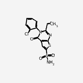 CCc1nc2sc(S(N)(=O)=O)cc2c(=O)n1-c1ccccc1Cl